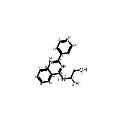 CC(C)[C@H](CO)Nc1nc(-c2ccncc2)nc2ccccc12